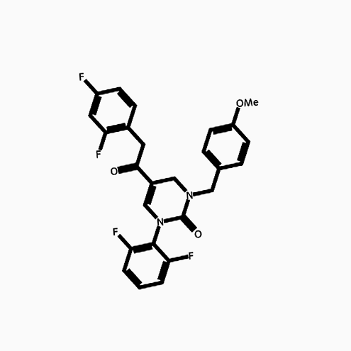 COc1ccc(CN2CC(C(=O)Cc3ccc(F)cc3F)=CN(c3c(F)cccc3F)C2=O)cc1